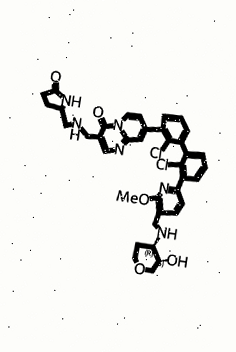 COc1nc(-c2cccc(-c3cccc(-c4ccn5c(=O)c(CNCC6CCC(=O)N6)cnc5c4)c3Cl)c2Cl)ccc1CN[C@@H]1CCOC[C@H]1O